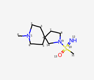 CN1CCC2(CC1)CCN(S(C)(=N)=O)C2